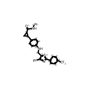 CC(C)NC(=O)C1CC1c1ccc(NCc2sc(-c3ccc(C(F)(F)F)cc3)nc2C(C)C)cc1